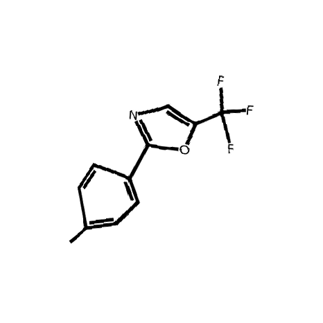 Cc1ccc(-c2ncc(C(F)(F)F)o2)cc1